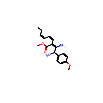 CC\C=C/C=C\C(C(=O)OC)=C(/N)C(N)c1ccc(OC)cc1